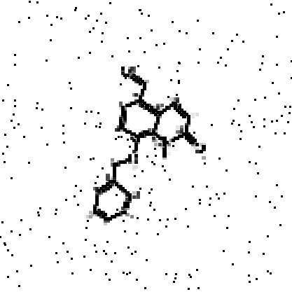 O=Cc1ccc(OCc2ccccc2)c2[nH]c(=O)ccc12